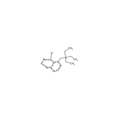 CC[N+](CC)(CC)Cc1cccc2ncnc(Cl)c12